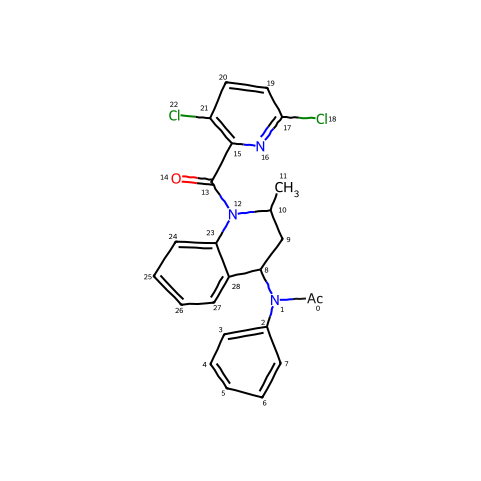 CC(=O)N(c1ccccc1)C1CC(C)N(C(=O)c2nc(Cl)ccc2Cl)c2ccccc21